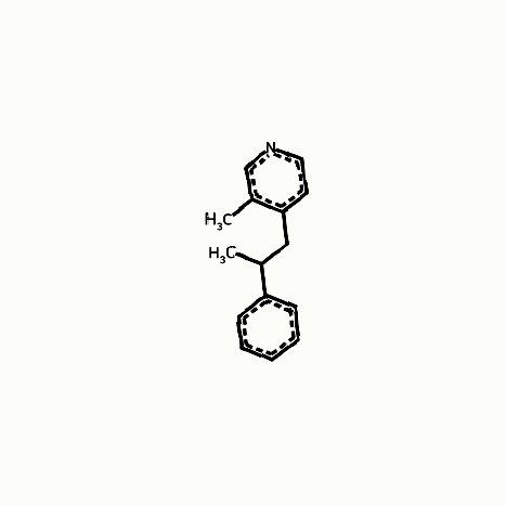 Cc1cnccc1CC(C)c1ccccc1